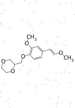 CO/C=C/c1ccc(OCC2COCCO2)c(OC)c1